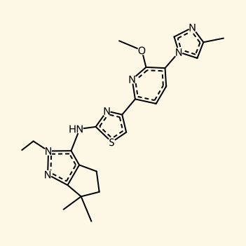 CCn1nc2c(c1Nc1nc(-c3ccc(-n4cnc(C)c4)c(OC)n3)cs1)CCC2(C)C